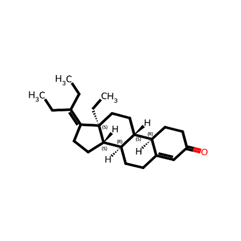 CCC(CC)=C1CC[C@H]2[C@@H]3CCC4=CC(=O)CC[C@@H]4[C@H]3CC[C@]12CC